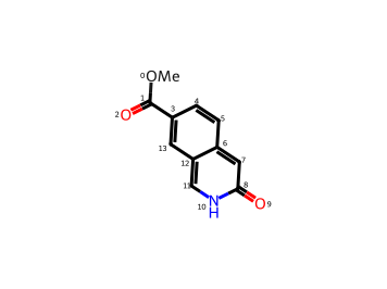 COC(=O)c1ccc2cc(=O)[nH]cc2c1